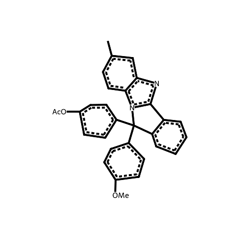 COc1ccc(C2(c3ccc(OC(C)=O)cc3)c3ccccc3-c3nc4cc(C)ccc4n32)cc1